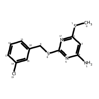 CSc1cc(N)nc(SCc2cccc(Cl)c2)n1